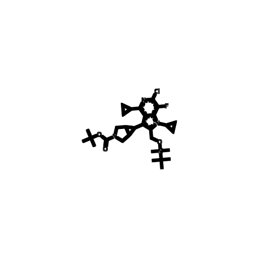 CC(C)(C)OC(=O)N1CC2C(C1)C2c1c(CO[Si](C)(C)C(C)(C)C)n(C2CC2)c2c(F)c(Cl)nc(C3CC3)c12